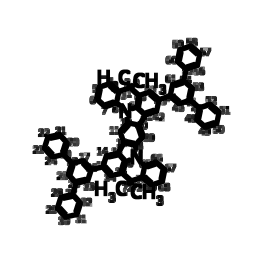 CC1(C)c2ccccc2-n2c3cc4c5cc(-c6cc(-c7ccccc7)cc(-c7ccccc7)c6)cc6c5n(c4cc3c3cc(-c4cc(-c5ccccc5)cc(-c5ccccc5)c4)cc1c32)-c1ccccc1C6(C)C